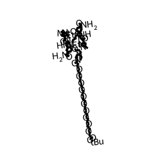 CCn1nc(C)cc1C(=O)/N=c1\[nH]c2cc(C(N)=O)cc(OC)c2n1C/C=C/Cn1/c(=N/C(=O)c2cc(C)nn2CC)[nH]c2cc(C(N)=O)cc(OCCCN3CCN(C(=O)CCOCCOCCOCCOCCOCCOCCOCCOCCOCCOCCC(=O)OC(C)(C)C)CC3)c21